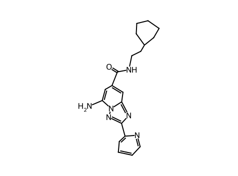 Nc1cc(C(=O)NCCC2CCCCC2)cc2nc(-c3ccccn3)nn12